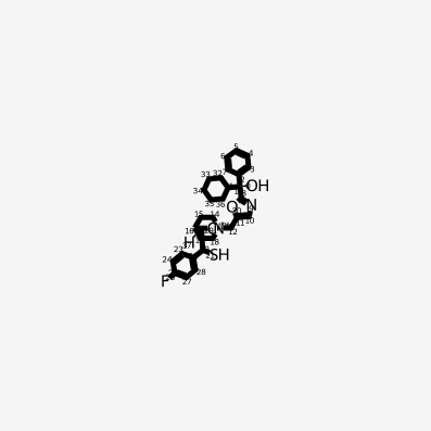 O[C@](c1ccccc1)(c1ncc(C[N+]23CCC(CC2)[C@H](C(S)c2ccc(F)cc2)C3)o1)C1CCCCC1